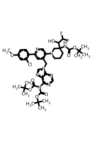 COc1ccc(-c2cc(Cn3cnc4c(N(C(=O)OC(C)(C)C)C(=O)OC(C)(C)C)ncnc43)c(N3CCCC(NC(=O)OC(C)(C)C)(C(O)C(F)F)C3)cn2)c(Cl)c1